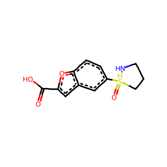 O=C(O)c1cc2cc([SH]3(=O)CCCN3)ccc2o1